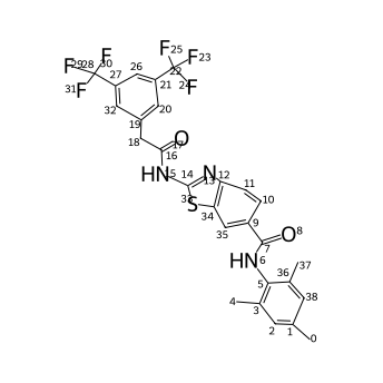 Cc1cc(C)c(NC(=O)c2ccc3nc(NC(=O)Cc4cc(C(F)(F)F)cc(C(F)(F)F)c4)sc3c2)c(C)c1